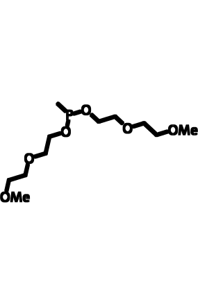 COCCOCCOP(C)OCCOCCOC